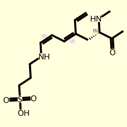 C=C/C(=C\C=C/NCCCS(=O)(=O)O)C[C@H](NC)C(C)=O